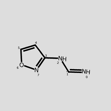 N=[C]Nc1ccon1